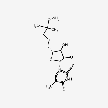 Cc1cn([C@@H]2O[C@H](COCC(C)(C)ON)[C@@H](O)[C@H]2O)c(=O)[nH]c1=O